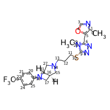 Cc1ncoc1-c1nnc(SCCCN2C[C@H]3CN(c4ccc(C(F)(F)F)cc4)[C@H]3C2)n1C